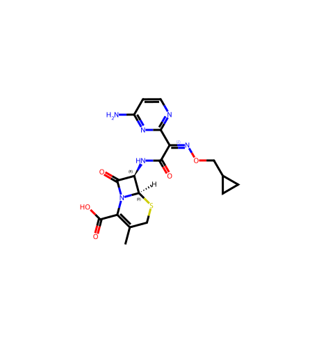 CC1=C(C(=O)O)N2C(=O)[C@@H](NC(=O)/C(=N\OCC3CC3)c3nccc(N)n3)[C@H]2SC1